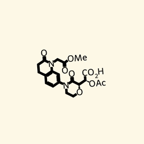 COC(=O)CN1C(=O)CCc2ccc(N3CCO[C@H]([C@@H](OC(C)=O)C(=O)O)C3=O)cc21